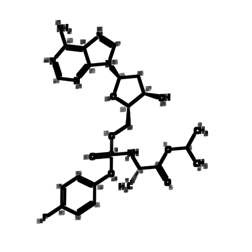 CC(C)OC(=O)[C@H](C)NP(=O)(OC[C@H]1O[C@@H](n2cnc3c(N)ncnc32)C[C@H]1O)Oc1ccc(F)cc1